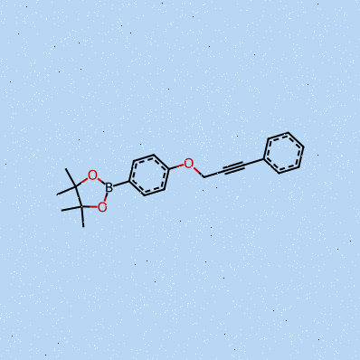 CC1(C)OB(c2ccc(OCC#Cc3ccccc3)cc2)OC1(C)C